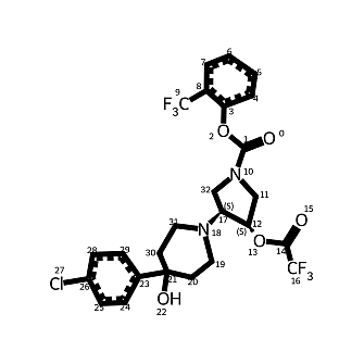 O=C(Oc1ccccc1C(F)(F)F)N1C[C@H](OC(=O)C(F)(F)F)[C@@H](N2CCC(O)(c3ccc(Cl)cc3)CC2)C1